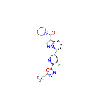 O=C(c1cnn2c(-c3cnc(-c4nnc(C(F)(F)F)o4)c(F)c3)cccc12)N1CCCCC1